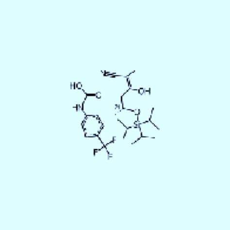 CC(C#N)=C(O)C[C@@H](C)O[Si](C(C)C)(C(C)C)C(C)C.O=C(O)Nc1ccc(C(F)(F)F)cc1